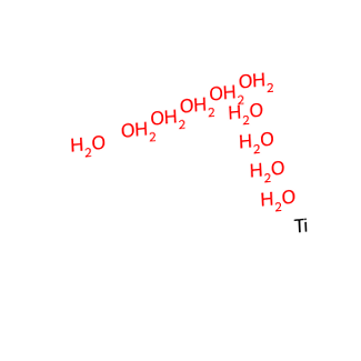 O.O.O.O.O.O.O.O.O.O.[Ti]